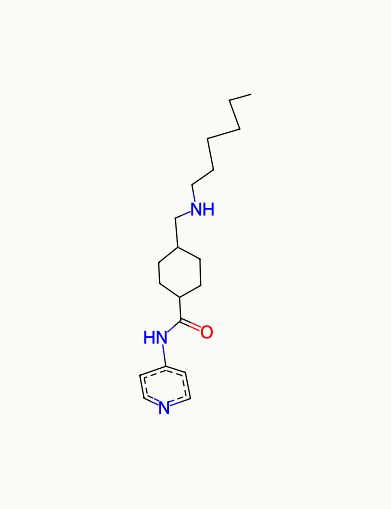 CCCCCCNCC1CCC(C(=O)Nc2ccncc2)CC1